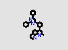 Cc1cc(-c2cccc(-c3cc(-c4ccccc4)nc(C4=CCCC=C4)n3)c2)c2ccc3cccnc3c2n1